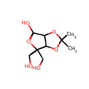 CC1(C)OC2C(O)OC(CO)(CO)C2O1